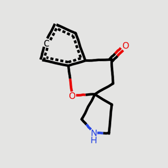 O=C1CC2(CCNC2)Oc2ccccc21